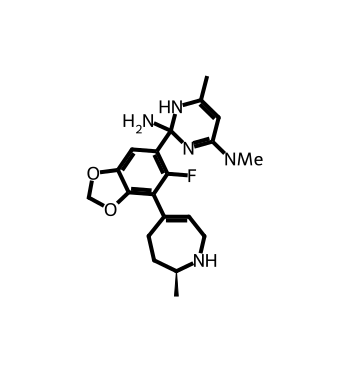 CNC1=NC(N)(c2cc3c(c(C4=CCN[C@@H](C)CC4)c2F)OCO3)NC(C)=C1